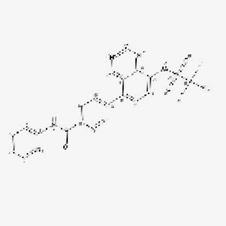 O=C(Nc1ccccn1)c1ccc(-c2ccc(OS(=O)(=O)C(F)(F)F)c3ncncc23)cc1